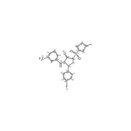 Cn1cnc(S(=O)(=O)N2CC(c3ccc(F)cc3)C(Nc3cccc(C(F)(F)F)c3)C2=O)c1